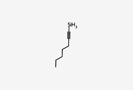 CCCCCC#C[SiH3]